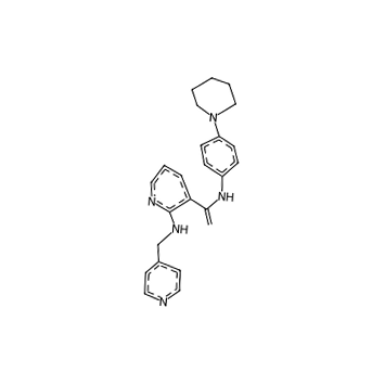 C=C(Nc1ccc(N2CCCCC2)cc1)c1cccnc1NCc1ccncc1